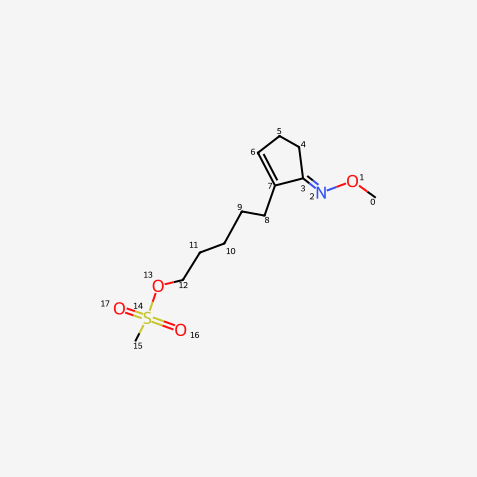 CON=C1CCC=C1CCCCCOS(C)(=O)=O